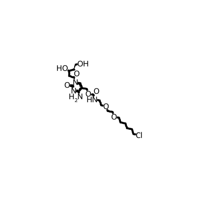 Nc1nc(=O)n([C@H]2CC(O)[C@@H](CO)O2)cc1COC(=O)NCCOCCOCCCCCCCl